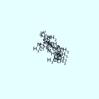 CCc1c(C#N)c(SC(C(N)=O)c2ccccc2)nc(N(C)CCOC(=O)C(NC(=O)OC(C)(C)C)C(C)C)c1C#N